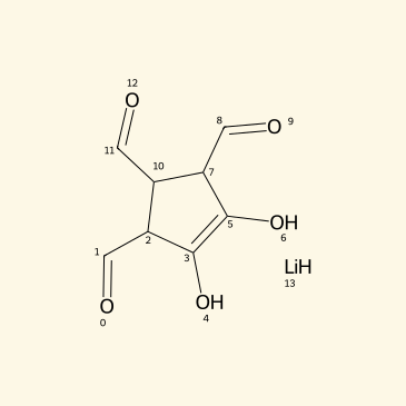 O=CC1C(O)=C(O)C(C=O)C1C=O.[LiH]